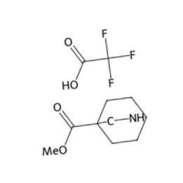 COC(=O)C12CCC(CC1)NC2.O=C(O)C(F)(F)F